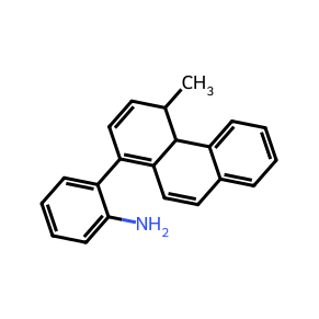 CC1C=CC(c2ccccc2N)=C2C=Cc3ccccc3C21